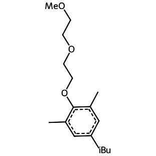 CCC(C)c1cc(C)c(OCCOCCOC)c(C)c1